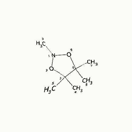 CN1OC(C)(C)C(C)(C)O1